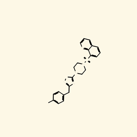 Cc1ccc(Cc2nsc(N3CCN(S(=O)(=O)c4cccc5cccnc45)CC3)n2)cc1